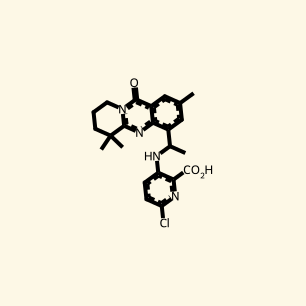 Cc1cc(C(C)Nc2ccc(Cl)nc2C(=O)O)c2nc3n(c(=O)c2c1)CCCC3(C)C